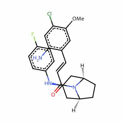 COc1cc(/C=C/C(=O)N2[C@@H]3CC[C@H]2C[C@@H](Nc2ccc(F)cc2)C3)c(N)cc1Cl